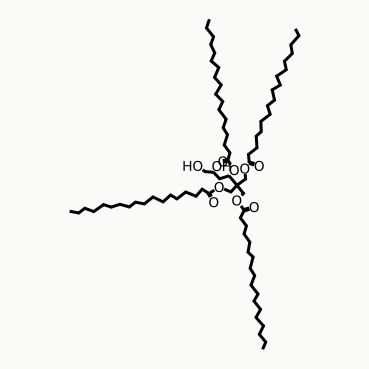 CCCCCCCCCCCCCCCCCC(=O)OCC(COC(=O)CCCCCCCCCCCCCCCCC)(COC(=O)CCCCCCCCCCCCCCCCC)C(CC(O)CO)OC(=O)CCCCCCCCCCCCCCCCC